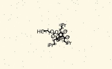 C#CCCOC(=O)O[C@]1(CC(=O)CCC(C)C)C(O)=C(C(=O)CC(C)C)C(=O)[C@@H]1CCC(C)C